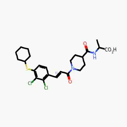 CC(NC(=O)C1CCN(C(=O)/C=C/c2ccc(SC3CCCCC3)c(Cl)c2Cl)CC1)C(=O)O